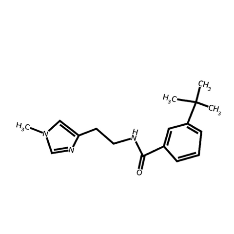 Cn1cnc(CCNC(=O)c2cccc(C(C)(C)C)c2)c1